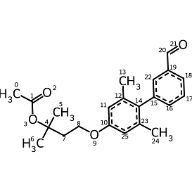 CC(=O)OC(C)(C)CCOc1cc(C)c(-c2cccc(C=O)c2)c(C)c1